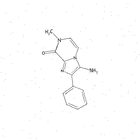 Cn1ccn2c(N)c(-c3ccccc3)nc2c1=O